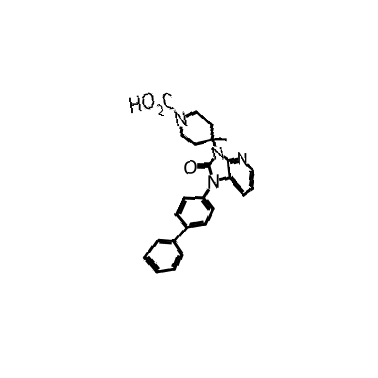 CC1(n2c(=O)n(-c3ccc(-c4ccccc4)cc3)c3cccnc32)CCN(C(=O)O)CC1